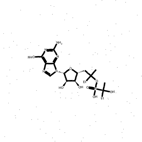 CCC(C)(C[C@H]1O[C@@H](n2cnc3c(OC)nc(N)nc32)[C@H](O)[C@@H]1O)OP(=O)(O)C(C)(O)CC